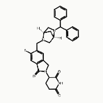 O=C1CCC(N2Cc3cc(CN4C[C@H]5C[C@@H]4CN5C(c4ccccc4)c4ccccc4)c(F)cc3C2=O)C(=O)N1